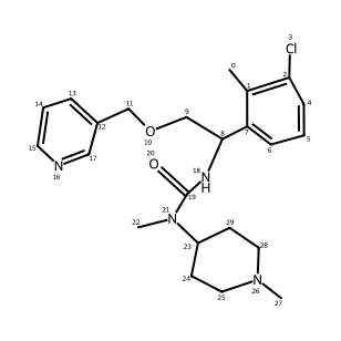 Cc1c(Cl)cccc1C(COCc1cccnc1)NC(=O)N(C)C1CCN(C)CC1